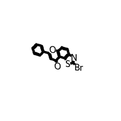 O=c1cc(-c2ccccc2)oc2ccc3nc(Br)sc3c12